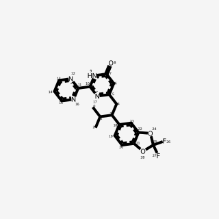 CC(C)C(Cc1cc(=O)[nH]c(-c2ncccn2)n1)c1ccc2c(c1)OC(F)(F)O2